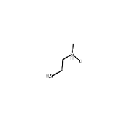 C[SiH](Cl)CC[SiH3]